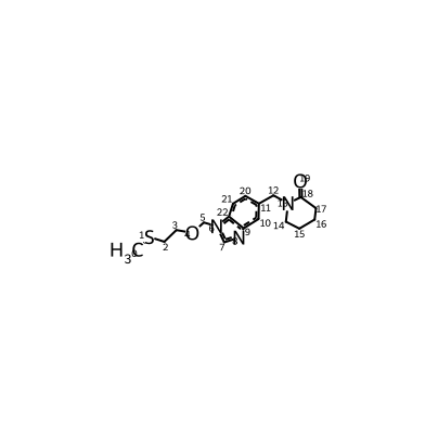 CSCCOCn1cnc2cc(CN3CCCCC3=O)ccc21